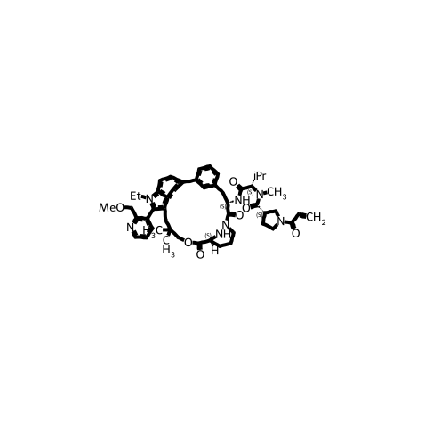 C=CC(=O)N1CC[C@H](C(=O)N(C)[C@H](C(=O)N[C@H]2Cc3cccc(c3)-c3ccc4c(c3)c(c(-c3cccnc3COC)n4CC)CC(C)(C)COC(=O)[C@@H]3CCCN(N3)C2=O)C(C)C)C1